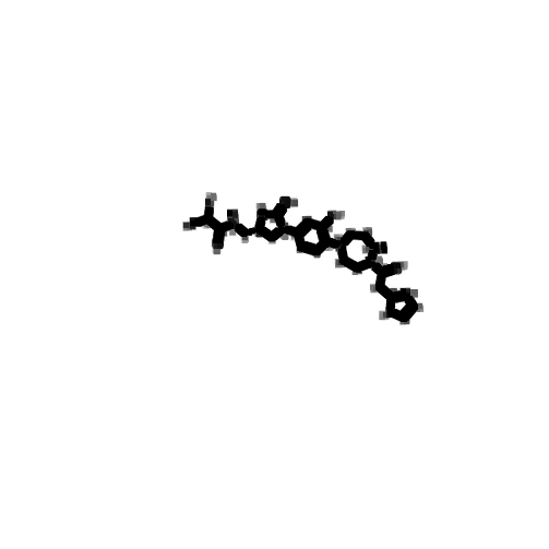 O=C(NC[C@H]1CN(c2ccc(N3CCNN(C(=O)Cc4nccs4)CC3)c(F)c2)C(=O)O1)C(F)F